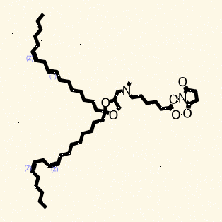 CCCCC/C=C\C/C=C\CCCCCCCCC1(CCCCCCC/C=C/C/C=C\CCCCC)OCC(CN(C)CCCCCC(=O)ON2C(=O)CCC2=O)O1